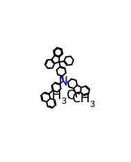 CC1(C)C2C=CC=CC2C2CCC(N(C3=CC=C(C4=CC=CC5C=CC=CC45)CC3)C3CC=C(C4(C5=CCCCC5)C5=C(C=CCC5)c5ccccc54)CC3)CC21